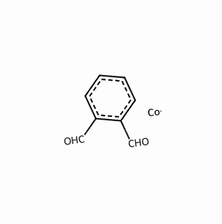 O=Cc1ccccc1C=O.[Co]